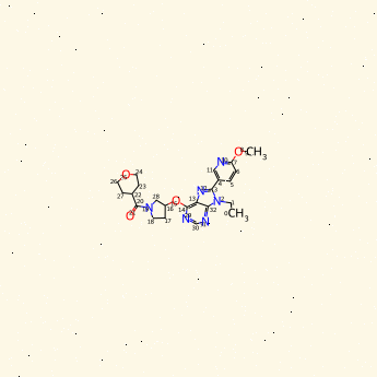 CCn1c(-c2ccc(OC)nc2)nc2c(OC3CCN(C(=O)C4CCOCC4)C3)ncnc21